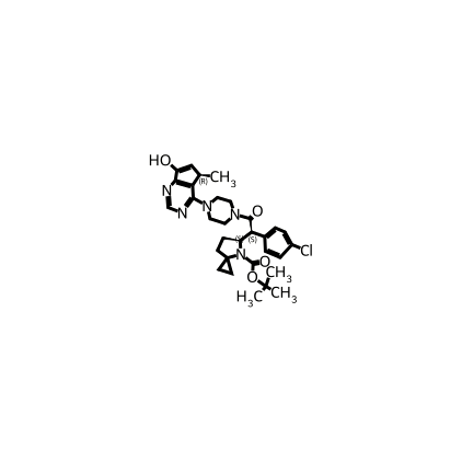 C[C@@H]1C=C(O)c2ncnc(N3CCN(C(=O)[C@@H](c4ccc(Cl)cc4)[C@@H]4CCC5(CC5)N4C(=O)OC(C)(C)C)CC3)c21